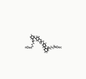 CCCCCCCCCCCCCCOc1ccccc1-c1ccc(CC(=O)Cc2ccc(-c3ccccc3OCCCCCCCCCCCCCC)cc2)cc1